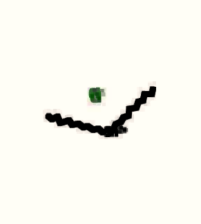 CCCCCCCCCCC[CH2][Sn+2][CH2]CCCCCCCCCCC.[Cl-].[Cl-]